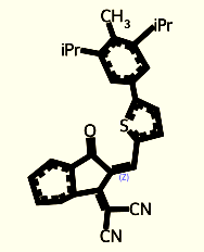 Cc1c(C(C)C)cc(-c2ccc(/C=C3\C(=O)c4ccccc4C3=C(C#N)C#N)s2)cc1C(C)C